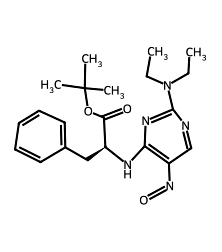 CCN(CC)c1ncc(N=O)c(N[C@@H](Cc2ccccc2)C(=O)OC(C)(C)C)n1